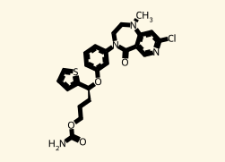 CN1CCN(c2cccc(O[C@@H](CCCOC(N)=O)c3cccs3)c2)C(=O)c2cnc(Cl)cc21